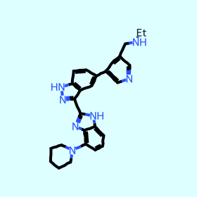 CCNCc1cncc(-c2ccc3[nH]nc(-c4nc5c(N6CCCCC6)cccc5[nH]4)c3c2)c1